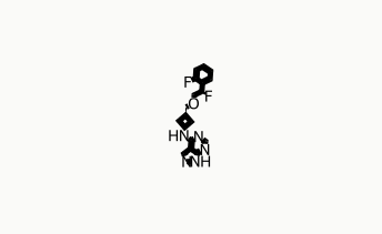 Fc1ccccc1[C@@H](F)COC[C@H]1C[C@@H](Nc2ncnc3[nH]ncc23)C1